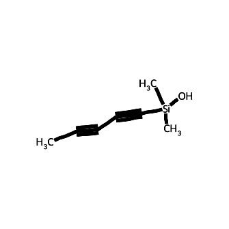 CC#CC#C[Si](C)(C)O